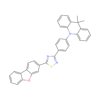 CC1(C)c2ccccc2N(c2ccc(-c3nsc(-c4ccc5c(c4)oc4ccccc45)n3)cc2)c2ccccc21